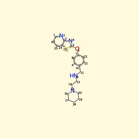 c1cnc2nc(Oc3ccc(CNCCN4CCCCC4)cc3)sc2c1